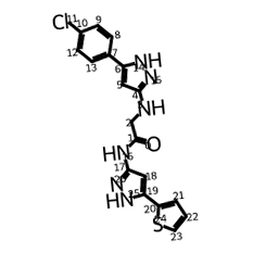 O=C(CNc1cc(-c2ccc(Cl)cc2)[nH]n1)Nc1cc(-c2cccs2)[nH]n1